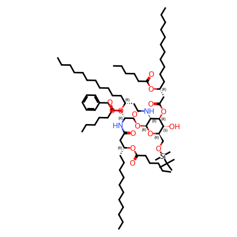 CCCCCCCCCCC[C@H](CC(=O)N[C@H](COCc1ccccc1)CO[C@@H]1O[C@H](CO[Si](C)(C)C(C)(C)C)[C@@H](O)[C@H](OC(=O)C[C@@H](CCCCCCCCCCC)OC(=O)CCCCC)[C@H]1NC(=O)C[C@@H](CCCCCCCCCCC)OC(=O)CCCCC)OC(=O)CCCCC